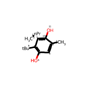 CCCC.Cc1cc(O)c(C(C)(C)C)cc1O